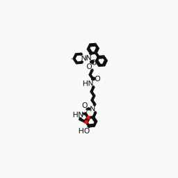 O=C(CCOC(=O)N(c1ccccc1-c1ccccc1)N1CC[CH]CC1)NCCCCCN(Cc1ccc(O)cc1)C(=O)[C@@H]1CCCN1